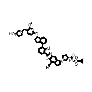 COc1nc(O[C@H]2CCc3c(-c4cccc(-c5nc6cc7c(c(C#N)c6o5)CC[C@H]7N5CC[C@@H](C(=O)NS(=O)(=O)C6CC6)C5)c4Cl)cccc32)ccc1CN1CC[C@@H](O)C1